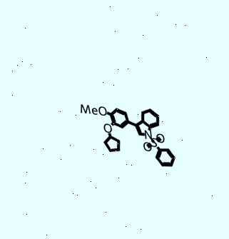 COc1ccc(C2=CN(S(=O)(=O)c3ccccc3)C3=CC=CCC23)cc1OC1CCCC1